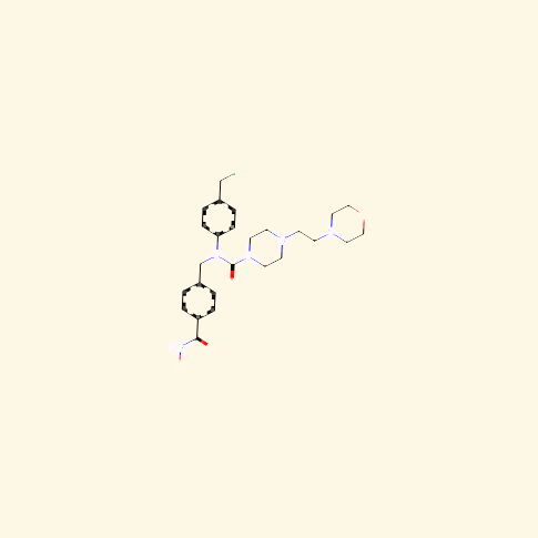 O=C(NO)c1ccc(CN(C(=O)N2CCN(CCN3CCOCC3)CC2)c2ccc(CF)cc2)cc1